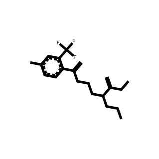 C=C(CCCC(CCC)C(=C)CC)c1ccc(C)cc1C(F)(F)F